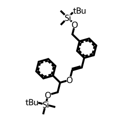 CC(C)(C)[Si](C)(C)OCc1cccc(C=COC(CO[Si](C)(C)C(C)(C)C)c2ccccc2)c1